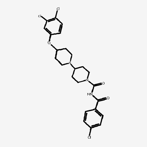 O=C(NC(=O)N1CCC(N2CCC(Oc3ccc(Cl)c(Cl)c3)CC2)CC1)c1ccc(Cl)cc1